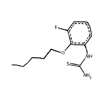 CCCCCOc1c(F)cccc1NC(N)=S